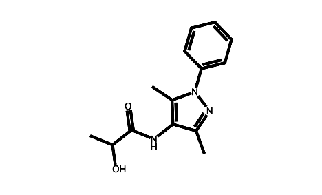 Cc1nn(-c2ccccc2)c(C)c1NC(=O)C(C)O